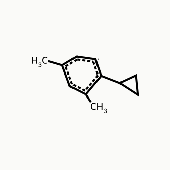 Cc1c[c]c(C2CC2)c(C)c1